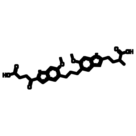 COc1cc2sc(CCC(C)C(=O)O)cc2cc1CCCc1cc2cc(C(=O)CCC(=O)O)sc2cc1OC